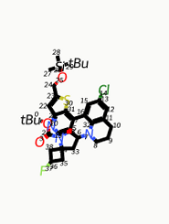 CC(C)(C)OC(=O)N1CC(N2CCCc3cc(Cl)cc(-c4ccnc5cc(CO[Si](C)(C)C(C)(C)C)sc45)c32)CC12CC(F)C2